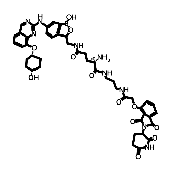 N[C@@H](CCC(=O)NCC1OB(O)c2cc(Nc3ncc4cccc(O[C@H]5CC[C@@H](O)CC5)c4n3)ccc21)C(=O)NCCCNC(=O)COc1cccc2c1C(=O)N(C1CCC(=O)NC1=O)C2=O